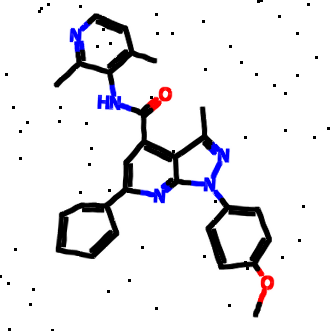 COc1ccc(-n2nc(C)c3c(C(=O)Nc4c(C)ccnc4C)cc(-c4ccccc4)nc32)cc1